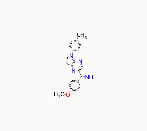 COc1ccc(C(=N)c2cnc3c(ccn3-c3ccc(C)cc3)n2)cc1